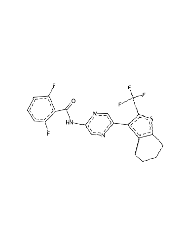 O=C(Nc1cnc(-c2c(C(F)(F)F)sc3c2CCCC3)cn1)c1c(F)cccc1F